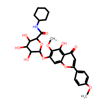 COc1ccc(-c2cc(=O)c3c(O)c(OC)c(OC4OC(C(=O)NC5CCCCC5)C(O)C(O)C4O)cc3o2)cc1